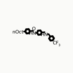 CCCCCCCCc1ccc(C(=O)Nc2ccc(CNCc3ccc(C(F)(F)F)cc3)cc2)cc1